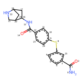 NC(=O)c1cccc(Sc2ccc(C(=O)NC3CC4CC3CN4)cc2)c1